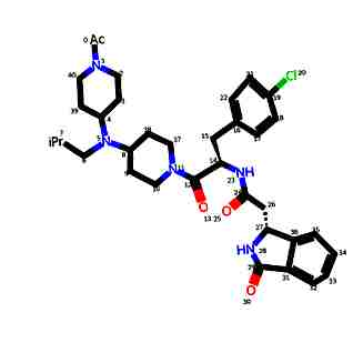 CC(=O)N1CCC(N(CC(C)C)C2CCN(C(=O)[C@@H](Cc3ccc(Cl)cc3)NC(=O)C[C@H]3NC(=O)c4ccccc43)CC2)CC1